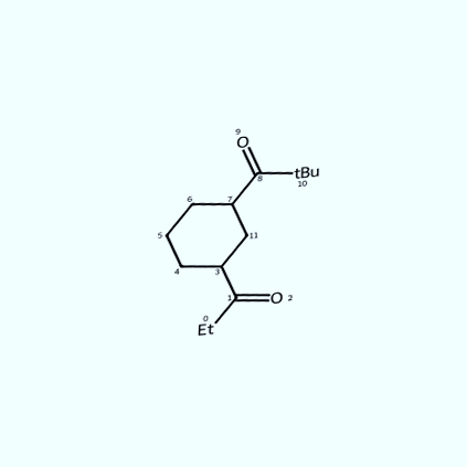 CCC(=O)C1CCCC(C(=O)C(C)(C)C)C1